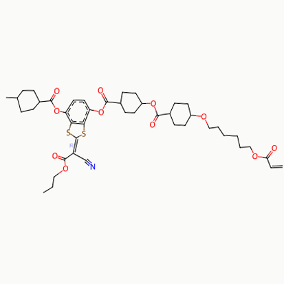 C=CC(=O)OCCCCCCOC1CCC(C(=O)OC2CCC(C(=O)Oc3ccc(OC(=O)C4CCC(C)CC4)c4c3S/C(=C(\C#N)C(=O)OCCC)S4)CC2)CC1